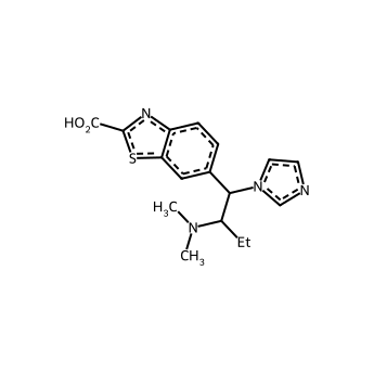 CCC(C(c1ccc2nc(C(=O)O)sc2c1)n1ccnc1)N(C)C